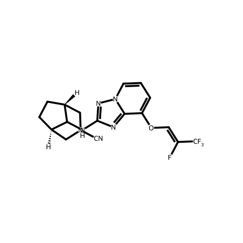 N#CN1C[C@H]2CC[C@H](C1)C2Nc1nc2c(O/C=C(\F)C(F)(F)F)cccn2n1